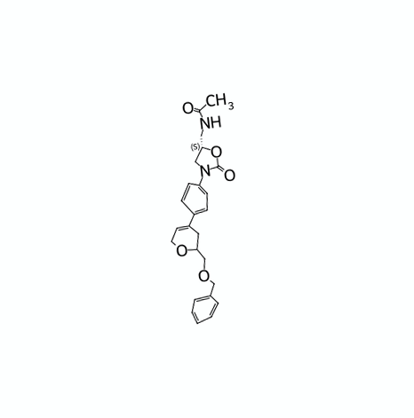 CC(=O)NC[C@H]1CN(c2ccc(C3=CCOC(COCc4ccccc4)C3)cc2)C(=O)O1